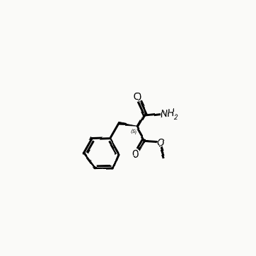 COC(=O)[C@@H](Cc1ccccc1)C(N)=O